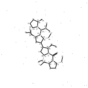 C=C(P1[C@H](CC)CC[C@H]1CC)P1[C@H](CC)CC(C2C[C@@H](CC)P(B(N(C)C)P3[C@H](CC)CC[C@H]3C)[C@@H]2CC)[C@H]1CC